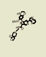 COc1cc2c(cc1-n1nc(C(=O)NCCN3CCC4(CCOC4=O)CC3)c3cnc(-c4cnn5cccnc45)cc31)OCCN2